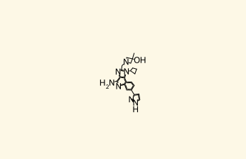 CC1(O)CN(Cc2nc3c(N)nc4cc(-c5cc[nH]n5)ccc4c3n2C2CCC2)C1